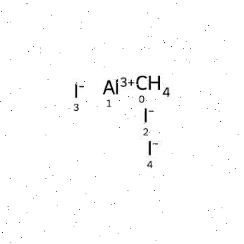 C.[Al+3].[I-].[I-].[I-]